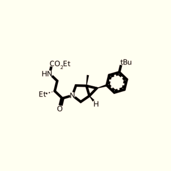 CCOC(=O)NC[C@@H](CC)C(=O)N1C[C@H]2[C@H](c3cccc(C(C)(C)C)c3)[C@@]2(C)C1